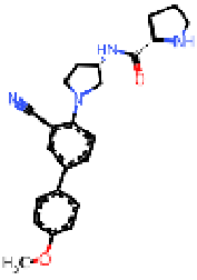 COc1ccc(-c2ccc(N3CC[C@H](NC(=O)[C@@H]4CCCN4)C3)c(C#N)c2)cc1